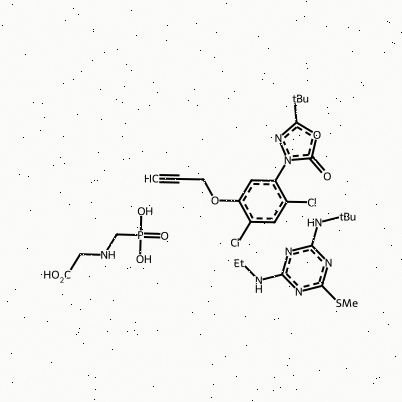 C#CCOc1cc(-n2nc(C(C)(C)C)oc2=O)c(Cl)cc1Cl.CCNc1nc(NC(C)(C)C)nc(SC)n1.O=C(O)CNCP(=O)(O)O